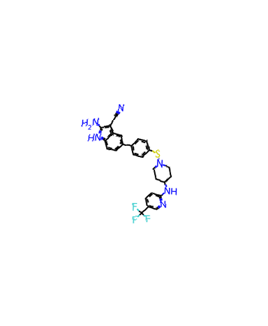 N#Cc1c(N)[nH]c2ccc(-c3ccc(SN4CCC(Nc5ccc(C(F)(F)F)cn5)CC4)cc3)cc12